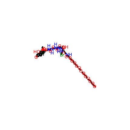 CCC(=O)O[C@]1(C(=O)COCNC(=O)CNC(=O)CNC(=O)CNC(=O)[C@H](CO)NC(=O)[C@H](CCCCNC(=O)CCOCCOCCOCCOCCOCCOCCOCCOCCOCCOCCOCCOC)NC(=O)CBr)[C@@H](C)CC2[C@@H]3CCC4=CC(=O)C=C[C@]4(C)[C@@]3(Cl)[C@@H](O)C[C@@]21C